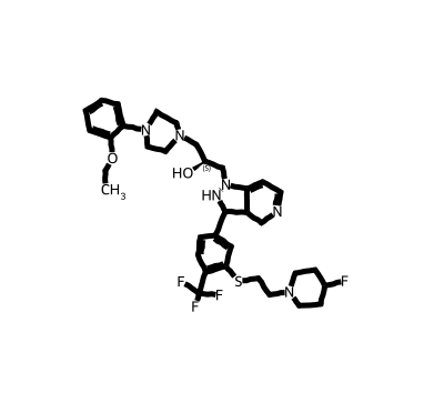 CCOc1ccccc1N1CCN(C[C@H](O)CN2NC(c3ccc(C(F)(F)F)c(SCCN4CCC(F)CC4)c3)C3CN=CC=C32)CC1